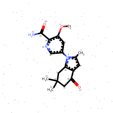 CCOc1cc(-n2c(C)cc3c2CC(C)(C)CC3=O)cnc1C(N)=O